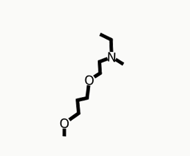 CCN(C)CCOCCCOC